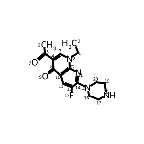 CCn1cc(C(C)=O)c(=O)c2cc(F)c(N3CCNCC3)nc21